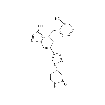 N#Cc1ccccc1SC1CC(c2cnn([C@H]3CCNC(=O)C3)c2)=Cn2ncc(C#N)c21